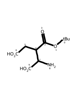 CC(C)(C)OC(=O)C(CC(=O)O)C(N)C(=O)O